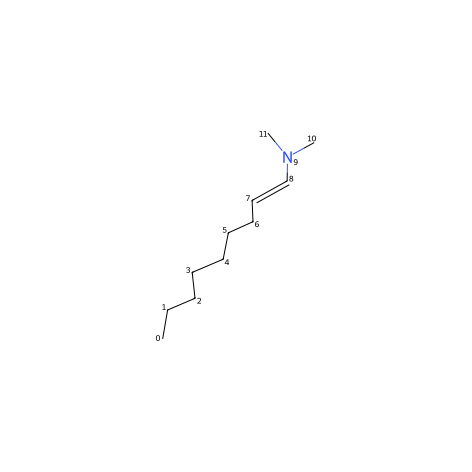 CCCCCCCC=CN(C)C